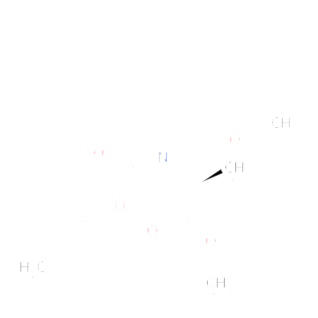 C=CCOC(=O)N(c1c(OC)ccc2ccccc12)[C@@H](C)C(=O)OC